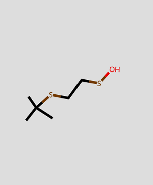 CC(C)(C)SCCSO